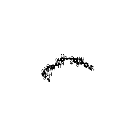 C=CCOC(=O)N[C@H](C(=O)N[C@@H](C)C(=O)Nc1ccc(C2=CN3C(=O)c4cc(OC)c(OCCCOc5cc6c(cc5OC)C(=O)N5C=C(c7ccc(N8CCN(C)CC8)cc7)C[C@H]5C=N6)cc4N=C[C@@H]3C2)cc1)C(C)C